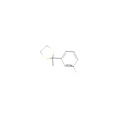 CC1(c2[c]c(O)ccc2)SCCS1